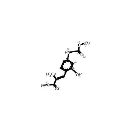 COC(=O)/C(C)=C/c1ccc(NC(=O)OC(C)(C)C)cc1O